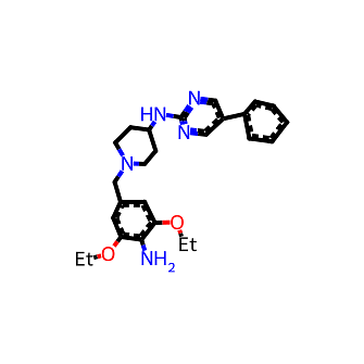 CCOc1cc(CN2CCC(Nc3ncc(-c4ccccc4)cn3)CC2)cc(OCC)c1N